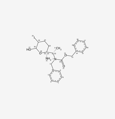 C[C@H](N(Cc1ccccc1)C(=O)OCc1ccccc1)[C@]1(N)CCC(I)C(O)O1